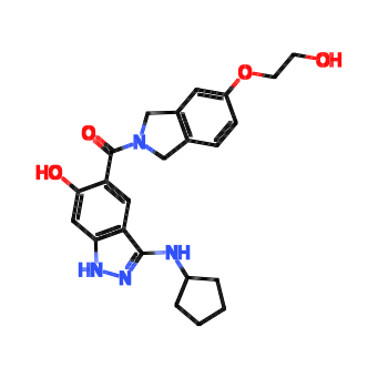 O=C(c1cc2c(NC3CCCC3)n[nH]c2cc1O)N1Cc2ccc(OCCO)cc2C1